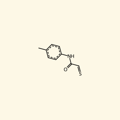 Cc1ccc(NC(=O)C=S)cc1